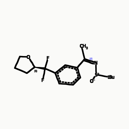 C/C(=N/[S+]([O-])C(C)(C)C)c1cccc(C(F)(F)[C@H]2CCCO2)c1